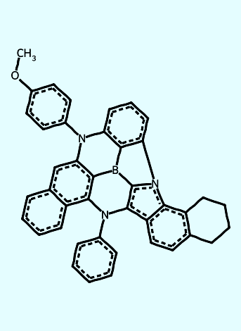 COc1ccc(N2c3cccc4c3B3c5c2cc2ccccc2c5N(c2ccccc2)c2c3n-4c3c4c(ccc23)CCCC4)cc1